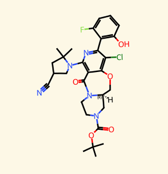 CC(C)(C)OC(=O)N1CCN2C(=O)c3c(N4CC(C#N)CC4(C)C)nc(-c4c(O)cccc4F)c(Cl)c3OC[C@H]2C1